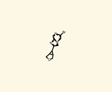 Brc1cn2cc(C3C4COCC43)nc2cn1